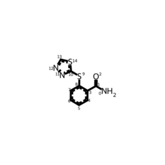 NC(=O)c1ccccc1Sc1nncs1